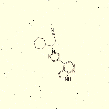 N#CCC(C1CCCCC1)n1cc(-c2ccnc3[nH]ccc23)cn1